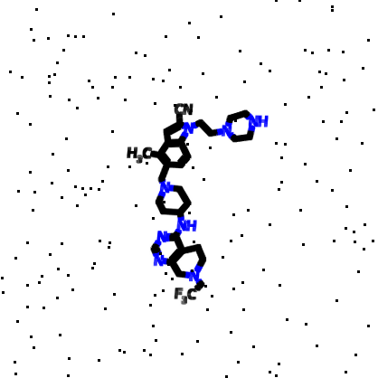 Cc1c(CN2CCC(Nc3ncnc4c3CCN(CC(F)(F)F)C4)CC2)ccc2c1cc(C#N)n2CCN1CCNCC1